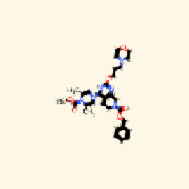 C[C@@H]1CN(c2nc(OCCCN3CCOCC3)nc3c2CCN(C(=O)OCc2ccccc2)C3)C[C@H](C)N1C(=O)OC(C)(C)C